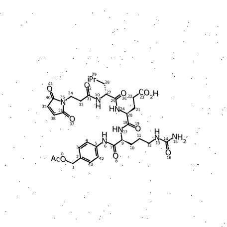 CC(=O)OCc1ccc(NC(=O)[C@H](CCCNC(N)=O)NC(=O)[C@H](CCC(=O)O)NC(=O)[C@@H](CC(C)C)NC(=O)CCN2C(=O)C=CC2=O)cc1